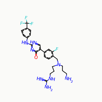 N=C(N)NCCCN(CCCN)Cc1ccc(-c2c[nH]c(Nc3ccc(C(F)(F)F)cc3)nc2=O)cc1F